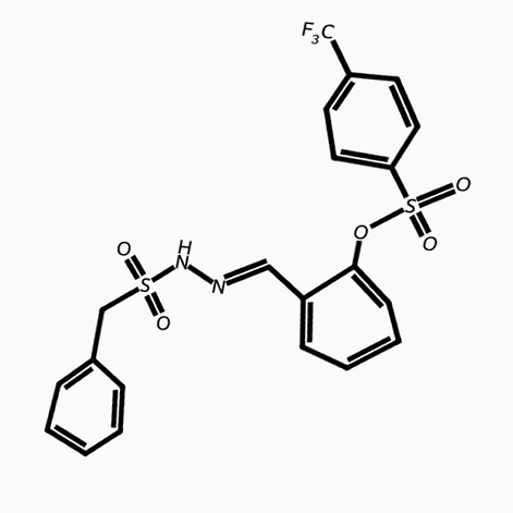 O=S(=O)(Cc1ccccc1)NN=Cc1ccccc1OS(=O)(=O)c1ccc(C(F)(F)F)cc1